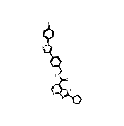 O=C(NCc1ccc(-c2cnn(-c3ccc(F)cc3)c2)cc1)c1ncnc2nc(C3CCCC3)[nH]c12